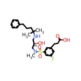 CN(C[C@H](O)CNC(C)(C)CCCc1ccccc1)S(=O)(=O)c1cc(F)cc(CCC(=O)O)c1